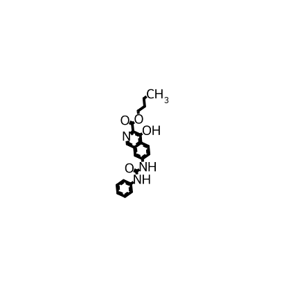 CCCCOC(=O)c1ncc2cc(NC(=O)Nc3ccccc3)ccc2c1O